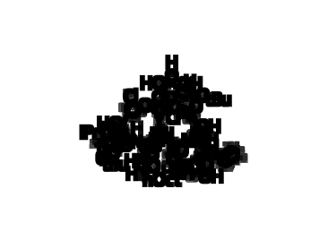 CCCCCCCCNC(=O)NC(=O)C[C@@H]1NC(=O)[C@H](NC(=O)[C@@H](CC(C)C)N(C)C(=O)OC(C)(C)C)[C@H](O)c2ccc(c(Cl)c2)Oc2cc3cc(c2OC2OC(CNC(=O)OC(C)(C)C)C(O)C(O)C2O)Oc2ccc(cc2Cl)[C@@H](O)[C@@H]2NC(=O)[C@H](NC(=O)[C@@H]3NC1=O)c1ccc(O)c(c1)-c1c(O)cc(O)cc1[C@@H](C(=O)NC1C3CC4CC(C3)CC1C4)NC2=O